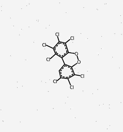 Clc1cc2c(c(Cl)c1Cl)OOc1c(Cl)c(Cl)c(Cl)c(Cl)c1-2